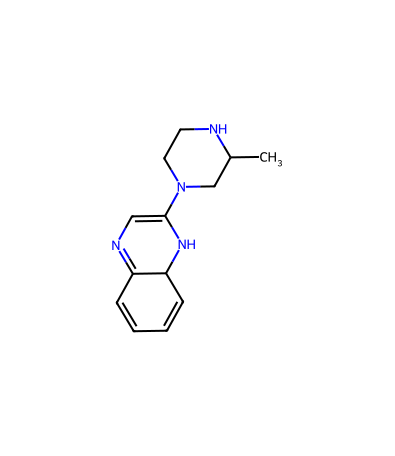 CC1CN(C2=CN=C3C=CC=CC3N2)CCN1